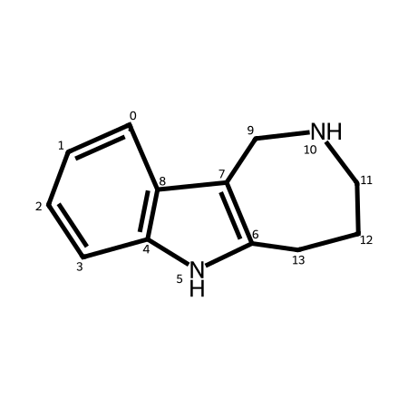 [c]1cccc2[nH]c3c(c12)CNCCC3